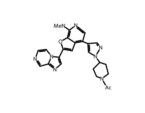 CNc1ncc(-c2cnn(C3CCN(C(C)=O)CC3)c2)c2cc(-c3cnc4cnccn34)oc12